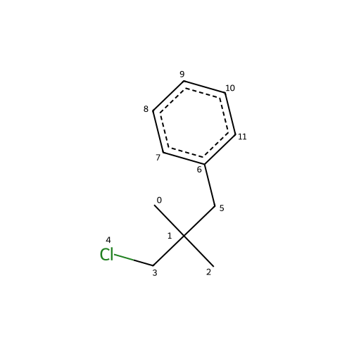 CC(C)(CCl)Cc1ccccc1